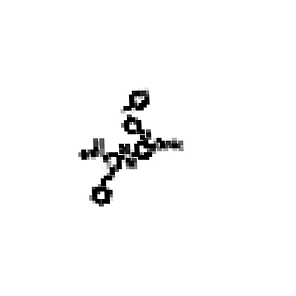 COc1ccc(S(=O)(=O)C(CCCCc2ccccc2)CC(=O)NO)cc1OC1CCC(Oc2ccncc2)C1